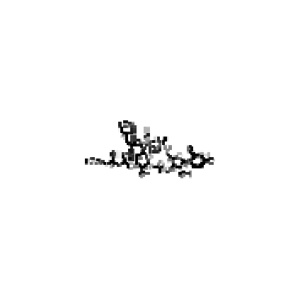 CCCCCCCCCCC[C@@H](O)CC(=O)N[C@H]1[C@@H](OP(=O)(O)OP(=O)(O)OC[C@H]2O[C@@H](n3ccc(=O)[nH]c3=O)[C@H](O)[C@@H]2O)O[C@H](CO)[C@@H](O)[C@@H]1OC(=O)C[C@H](O)CCCCCCCCCCC